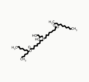 CCCCCCCC(CCC)OC(=O)CCCCCCCN(CCCCCCCC(=O)OC(CCCCC)CCCCCC)CC(O)CO